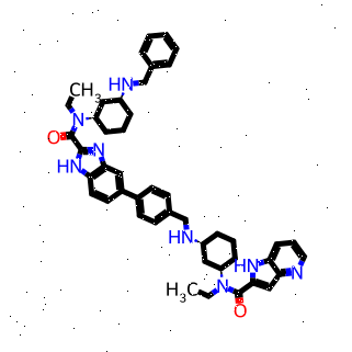 CCN(C(=O)c1cc2ncccc2[nH]1)[C@H]1CCC[C@@H](NCc2ccc(-c3ccc4[nH]c(C(=O)N(CC)[C@H]5CCC[C@@H](NCc6ccccc6)C5)nc4c3)cc2)C1